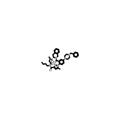 CCCCN(CCCC)C(=O)c1cc(C)n(-c2ccc(N3CCN(Cc4ccccc4)CC3)cc2C(=O)N2Cc3ccccc3C[C@H]2CO)n1